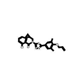 C=CCOc1c(C)cc(-c2nnc(N(CC3CC3)C(=O)c3ccccc3Cl)s2)cc1C